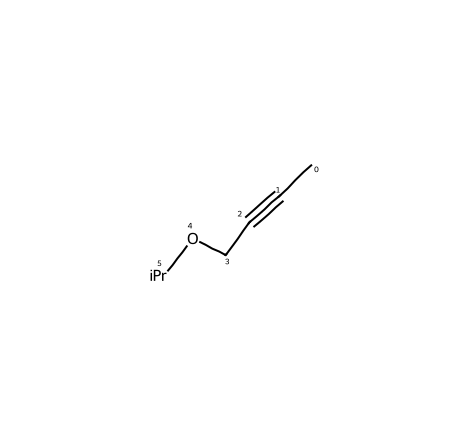 CC#CCOC(C)C